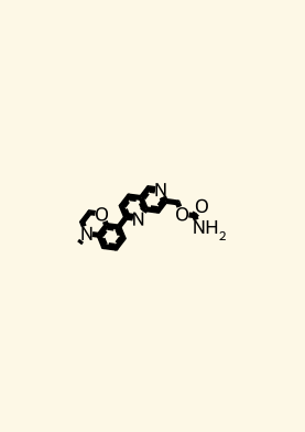 CN1CCOc2c(-c3ccc4cnc(COC(N)=O)cc4n3)cccc21